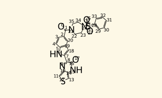 O=C(c1ccc2[nH]c(-c3nc4cscc4[nH]c3=O)cc2c1)N1CCN(S(=O)(=O)c2ccccc2)CC1